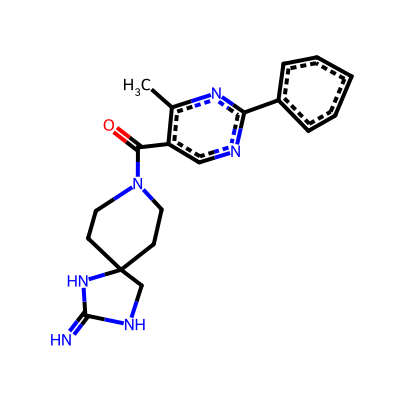 Cc1nc(-c2ccccc2)ncc1C(=O)N1CCC2(CC1)CNC(=N)N2